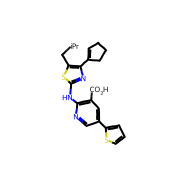 CC(C)Cc1sc(Nc2ncc(-c3cccs3)cc2C(=O)O)nc1C1=CCCC1